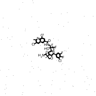 COc1cc(C(=O)NCC(O)(c2cc3c(c(-c4cc(F)c(F)c(Cl)c4)n2)OC[C@]3(C)C(N)=O)C(F)(F)F)cc2cc(Cl)c(C)nc12